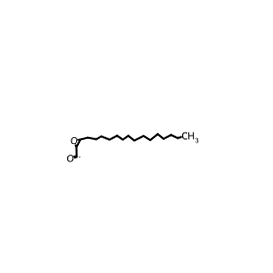 CCCCCCCCCCCCCCCC1OC1[C]=O